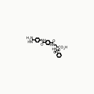 N=C(N)c1ccc(NC(=O)c2ccc(C(=O)NC[C@H](NS(=O)(=O)c3ccccc3)C(=O)O)cc2)cc1